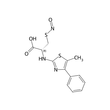 Cc1sc(N[C@@H](CSN=O)C(=O)O)nc1-c1ccccc1